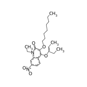 CC=C(CC)Oc1c(OCCCCCCCC)c(=O)n(CC)c2cc([N+](=O)[O-])ccc12